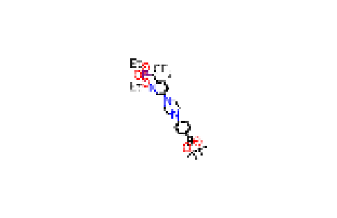 CCOP(=O)(OCC)C(c1ccc(N2CCN(c3ccc(B4OC(C)(C)C(C)(C)O4)cc3)CC2)cn1)C(F)(F)F